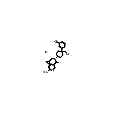 Cl.NC[C@]1(c2cccc(Cl)c2)CC[C@H](N(CC2CC2)C(=O)c2ccc(N)nc2)CC1